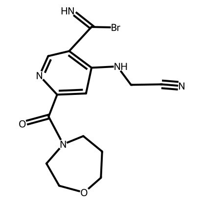 N#CCNc1cc(C(=O)N2CCCOCC2)ncc1C(=N)Br